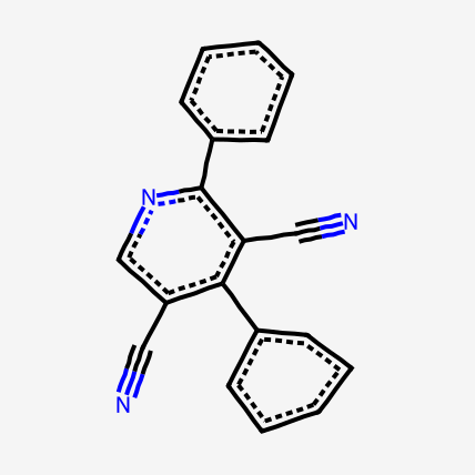 N#Cc1cnc(-c2ccccc2)c(C#N)c1-c1ccccc1